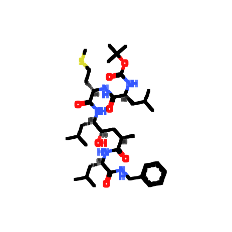 CSCC[C@H](NC(=O)[C@H](CC(C)C)NC(=O)OC(C)(C)C)C(=O)N[C@@H](CC(C)C)[C@@H](O)C[C@@H](C)C(=O)N[C@@H](CC(C)C)C(=O)NCc1ccccc1